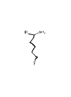 FCCCCC(F)[SiH3]